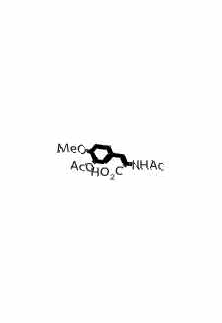 COc1ccc(C=C(NC(C)=O)C(=O)O)cc1OC(C)=O